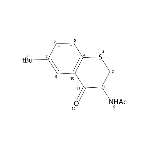 CC(=O)NC1CSc2ccc(C(C)(C)C)cc2C1=O